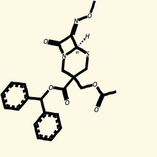 CON=C1C(=O)N2CC(COC(C)=O)(C(=O)OC(c3ccccc3)c3ccccc3)CS[C@H]12